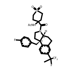 CC(=O)NC1(C(=O)N2CC[C@@]3(Cc4ccc(F)cc4)c4ccc(C(C)(F)C(F)(F)F)cc4CC[C@@H]23)CCS(=O)(=O)CC1